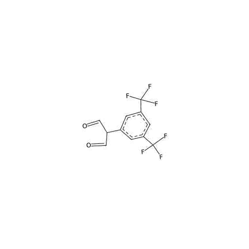 O=CC(C=O)c1cc(C(F)(F)F)cc(C(F)(F)F)c1